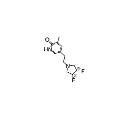 Cc1cc(CCN2C[C@H](F)[C@@H](F)C2)c[nH]c1=O